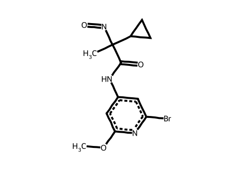 COc1cc(NC(=O)C(C)(N=O)C2CC2)cc(Br)n1